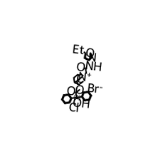 CCc1cc(NC(=O)C[N+]23CCC(CC2)C(OC(=O)[C@@](O)(c2ccccc2)c2ccccc2Cl)C3)no1.[Br-]